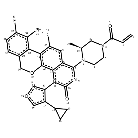 C=CC(=O)N1CCN(c2nc(=O)n(-c3nocc3C3CC3)c3c4c(c(Cl)cc23)-c2c(ccc(F)c2P)CO4)[C@@H](C)C1